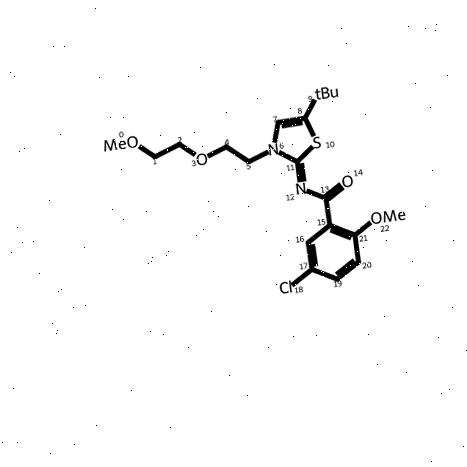 COCCOCCn1cc(C(C)(C)C)s/c1=N\C(=O)c1cc(Cl)ccc1OC